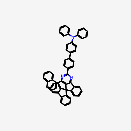 c1ccc(N(c2ccccc2)c2ccc(-c3ccc(-c4nc5c(c(-c6cccc7ccccc67)n4)C4(c6ccccc6-c6ccccc64)c4ccccc4-5)cc3)cc2)cc1